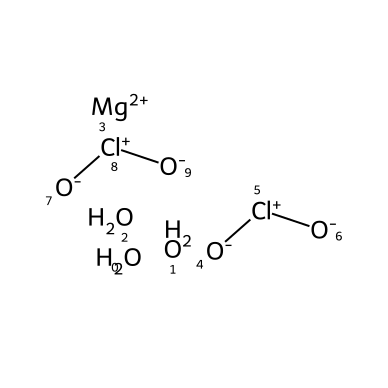 O.O.O.[Mg+2].[O-][Cl+][O-].[O-][Cl+][O-]